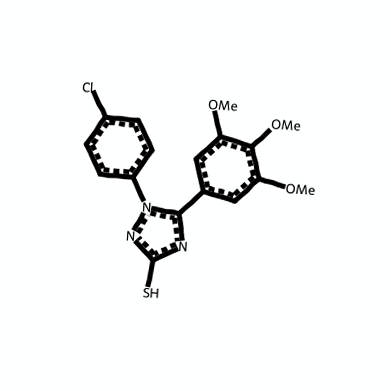 COc1cc(-c2nc(S)nn2-c2ccc(Cl)cc2)cc(OC)c1OC